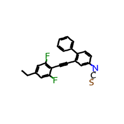 CCc1cc(F)c(C#Cc2cc(N=C=S)ccc2-c2ccccc2)c(F)c1